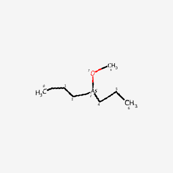 CCC[As](CCC)OC